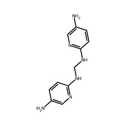 Nc1ccc(NCNc2ccc(N)cn2)nc1